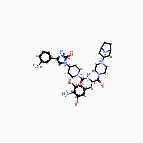 CN1C2CCC1CC(N1CCN(C(=O)[C@@H](Cc3cc(Br)c(N)c(Br)c3)NC(=O)N3CCC(n4cc(-c5cccc(C(F)(F)F)c5)[nH]c4=O)CC3)CC1)C2